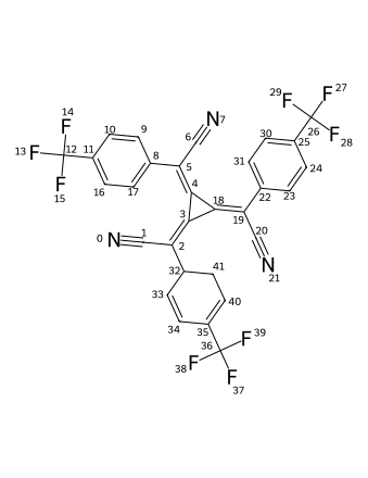 N#CC(=C1C(=C(/C#N)c2ccc(C(F)(F)F)cc2)/C1=C(/C#N)c1ccc(C(F)(F)F)cc1)C1C=CC(C(F)(F)F)=CC1